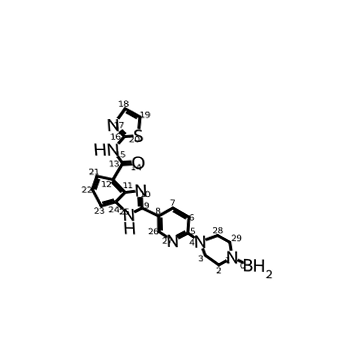 BN1CCN(c2ccc(-c3nc4c(C(=O)Nc5nccs5)cccc4[nH]3)cn2)CC1